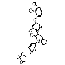 CC1(C)OC[C@@H](Cn2ccc(NC(=O)C(CC3CCCC3)n3ncc(Oc4cccc(Cl)c4Cl)cc3=O)n2)O1